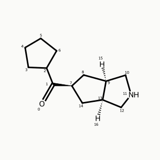 O=C(C1CCCC1)[C@H]1C[C@H]2CNC[C@H]2C1